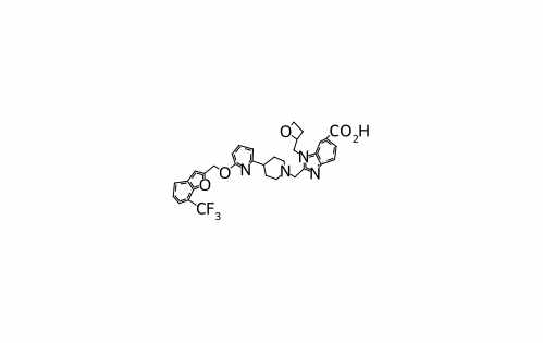 O=C(O)c1ccc2nc(CN3CCC(c4cccc(OCc5cc6cccc(C(F)(F)F)c6o5)n4)CC3)n(CC3CCO3)c2c1